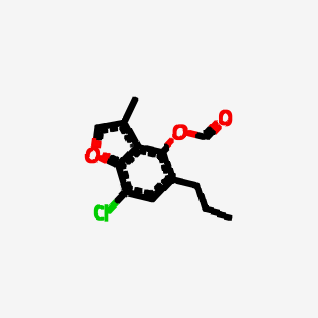 CCCc1cc(Cl)c2occ(C)c2c1OC=O